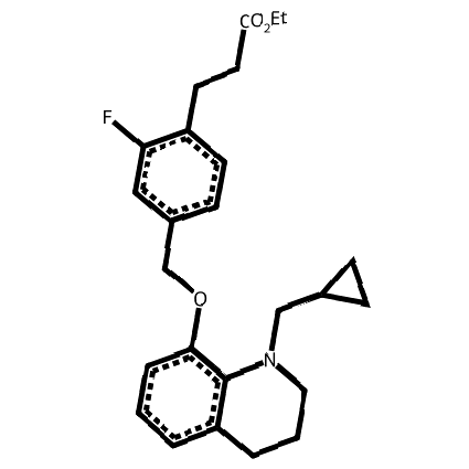 CCOC(=O)CCc1ccc(COc2cccc3c2N(CC2CC2)CCC3)cc1F